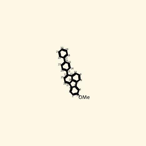 COc1ccc2c(c1)-c1cccc3c(-c4ccc(-c5ccccc5)cc4)ccc-2c13